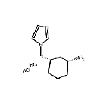 Cl.Cl.N[C@@H]1CCC[C@H](Cn2ccnc2)C1